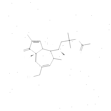 CC(=O)OC(C)(C)C[C@@H](C)[C@@]1(O)C(C)C=C(CO)C[C@]2(O)C(=O)C(C)=C[C@@H]12